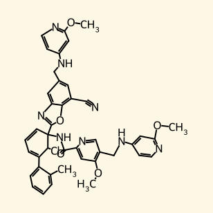 COc1cc(NCc2cc(C#N)c3oc(C4(NC(=O)c5cc(OC)c(CNc6ccnc(OC)c6)cn5)C=CC=C(c5ccccc5C)C4Cl)nc3c2)ccn1